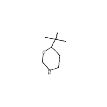 CC(C)(C)C1CCNCO1